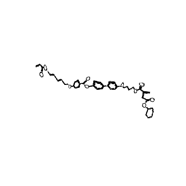 C=CC(=O)OCCCCCCOc1ccc(C(=O)Oc2ccc(-c3ccc(OCCCCOC(=O)C(=C)CC(=O)OC4CCCCC4)cc3)cc2)cc1